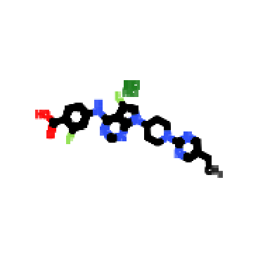 CCc1cnc(N2CCC(n3cc(F)c4c(Nc5ccc(C(=O)O)c(F)c5)ncnc43)CC2)nc1.Cl.Cl